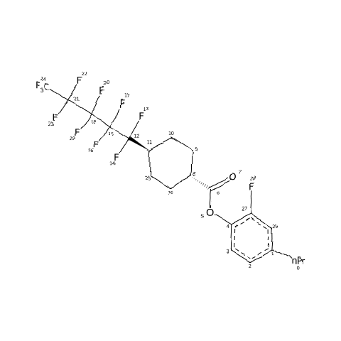 CCCc1ccc(OC(=O)[C@H]2CC[C@H](C(F)(F)C(F)(F)C(F)(F)C(F)(F)C(F)(F)F)CC2)c(F)c1